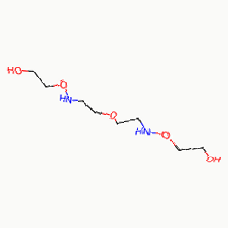 OCCONCCOCCNOCCO